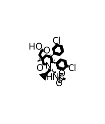 C[C@@]1(CC(=O)O)C[C@H](c2cccc(Cl)c2)[C@@H](c2ccc(Cl)cc2)N([C@H](CNS(C)(=O)=O)C2CC2)C1=O